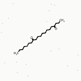 CCCCCCCC(=O)CCCCCCCCC(=O)CCC